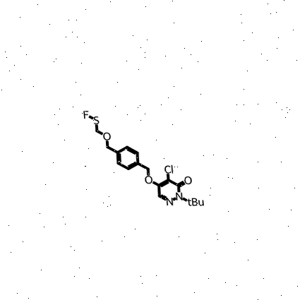 CC(C)(C)n1ncc(OCc2ccc(COCSF)cc2)c(Cl)c1=O